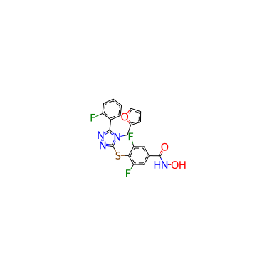 O=C(NO)c1cc(F)c(Sc2nnc(-c3ccccc3F)n2Cc2ccco2)c(F)c1